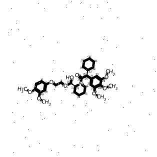 COc1ccc(OCCOC(O)[C@@H]2CCCCN2C(=O)[C@H](c2cc(OC)c(OC)c(OC)c2)C2CCCCC2)cc1OC